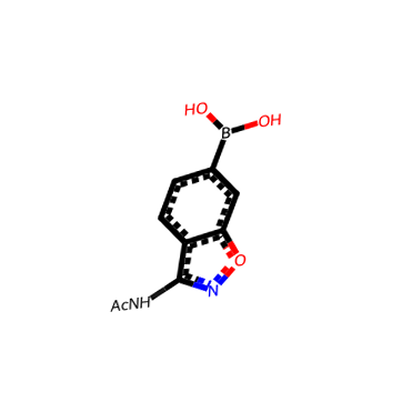 CC(=O)Nc1noc2cc(B(O)O)ccc12